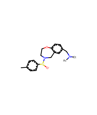 CCN(Cc1ccc2c(c1)CN([S+]([O-])c1ccc(C)cc1)CCO2)C(C)=O